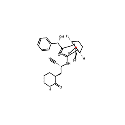 N#C[C@@H](C[C@@H]1CCCNC1=O)NC(=O)[C@H]1[C@@H]2CC[C@@H](CC2(F)F)N1C(=O)[C@@H](O)c1ccccc1